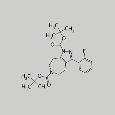 CC(C)(C)OC(=O)N1CCc2c(-c3ccccc3F)nn(C(=O)OC(C)(C)C)c2CC1